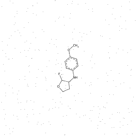 COc1ccc(NC2CCO[C]2F)cc1